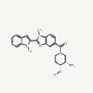 CCO[C@@H]1CCN(C(=O)c2ccc3c(c2)nc(-c2cc4ccccc4n2CC)n3C)C[C@@H]1N